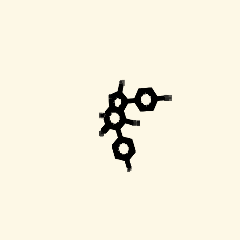 O=c1[nH]c2sc(Cl)c(-c3ccc(O)cc3)c2c(O)c1-c1ccc(F)cc1